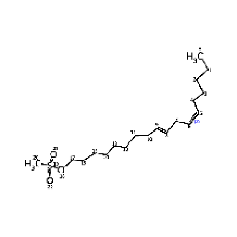 CCCCC/C=C\CC=CCCCCCCCCOS(C)(=O)=O